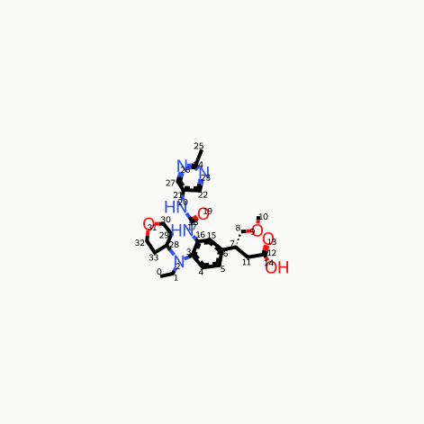 CCN(c1ccc([C@H](COC)CC(=O)O)cc1NC(=O)Nc1cnc(C)nc1)C1CCOCC1